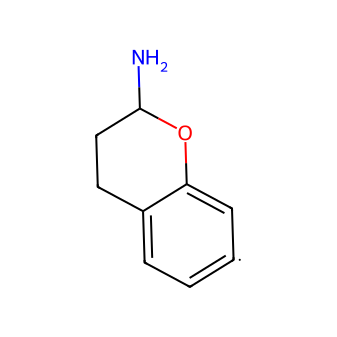 NC1CCc2cc[c]cc2O1